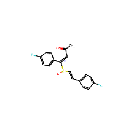 CC(=O)/C=C(\c1ccc(F)cc1)[S+]([O-])C=Cc1ccc(F)cc1